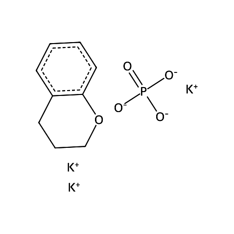 O=P([O-])([O-])[O-].[K+].[K+].[K+].c1ccc2c(c1)CCCO2